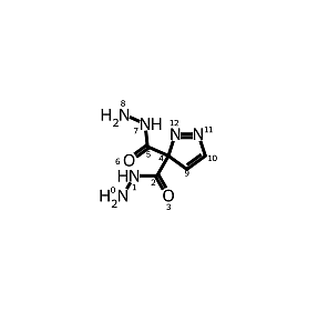 NNC(=O)C1(C(=O)NN)C=CN=N1